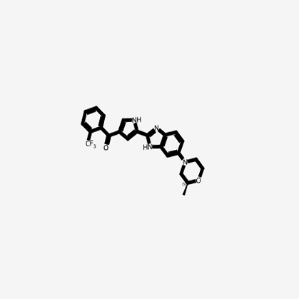 C[C@H]1CN(c2ccc3nc(-c4cc(C(=O)c5ccccc5C(F)(F)F)c[nH]4)[nH]c3c2)CCO1